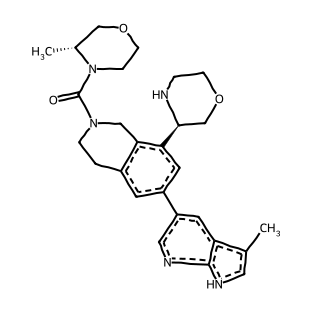 Cc1c[nH]c2ncc(-c3cc4c(c([C@@H]5COCCN5)c3)CN(C(=O)N3CCOC[C@H]3C)CC4)cc12